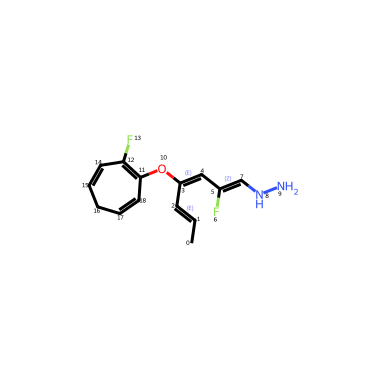 C/C=C/C(=C\C(F)=C\NN)OC1=C(F)C=CCC=C1